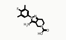 Cc1cc(-n2nc3c(c2N)CN(C(=O)O)CC3)cc(C)c1F